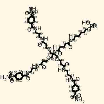 NS(=O)(=O)c1ccc(C(=O)NCCCNC(=O)CCOCC(COCCC(=O)NCCCNC(=O)c2ccc(S(N)(=O)=O)cc2)(COCCC(=O)NCCCNC(=O)c2ccc(S(N)(=O)=O)cc2)NC(=O)CCCC(=O)NCCCCCCO[PH](=O)O)cc1